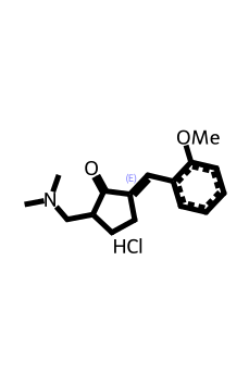 COc1ccccc1/C=C1\CCC(CN(C)C)C1=O.Cl